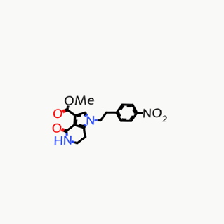 COC(=O)c1cn(CCc2ccc([N+](=O)[O-])cc2)c2c1C(=O)NCC2